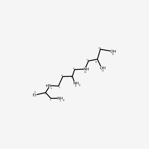 CCC(CN)NCCC(N)CNCC(O)CO